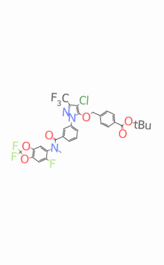 CN(C(=O)c1cccc(-n2nc(C(F)(F)F)c(Cl)c2OCc2ccc(C(=O)OC(C)(C)C)cc2)c1)c1cc2c(cc1F)OC(F)(F)O2